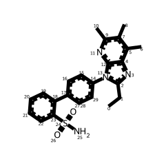 CCc1nc2c(C)c(C)c(C)nc2n1-c1ccc(-c2ccccc2S(N)(=O)=O)cc1